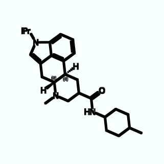 CC1CCC(NC(=O)C2C[C@@H]3c4cccc5c4c(cn5C(C)C)C[C@H]3N(C)C2)CC1